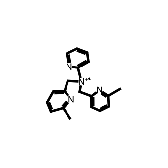 Cc1cccc(C[N+](C)(Cc2cccc(C)n2)c2ccccn2)n1